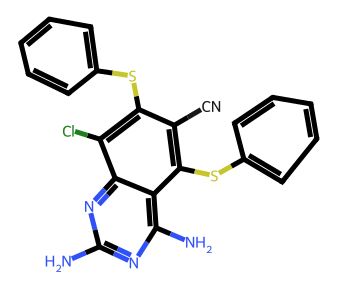 N#Cc1c(Sc2ccccc2)c(Cl)c2nc(N)nc(N)c2c1Sc1ccccc1